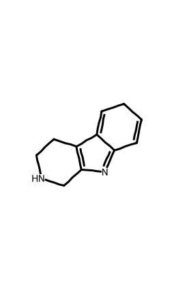 C1=CC2=NC3=C(CCNC3)C2=CC1